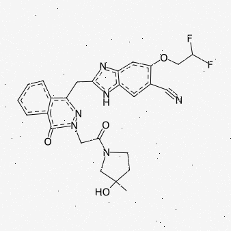 CC1(O)CCN(C(=O)Cn2nc(Cc3nc4cc(OCC(F)F)c(C#N)cc4[nH]3)c3ccccc3c2=O)C1